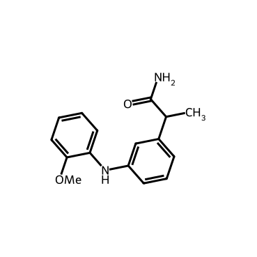 COc1ccccc1Nc1cccc(C(C)C(N)=O)c1